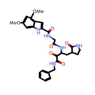 COc1cc(OC)c2cc(C(=O)NCC(=O)NC(CC3CCNC3=O)C(=O)C(=O)NCc3ccccc3)[nH]c2c1